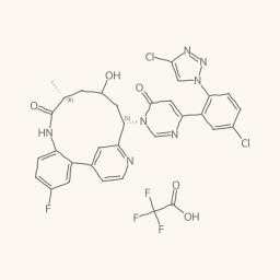 C[C@@H]1CC(O)C[C@H](n2cnc(-c3cc(Cl)ccc3-n3cc(Cl)nn3)cc2=O)c2cc(ccn2)-c2cc(F)ccc2NC1=O.O=C(O)C(F)(F)F